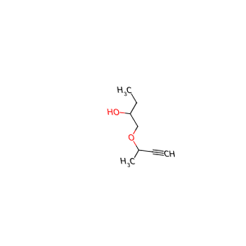 C#CC(C)OCC(O)CC